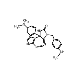 CNc1ccc(CN2C(=O)NC3(c4ccc(N(C)C)cc4)C2=NC=Nc2[nH]cnc23)cc1